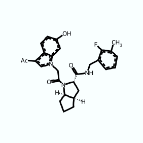 CC(=O)c1cn(CC(=O)N2[C@@H]3CCC[C@@H]3C[C@H]2C(=O)NCc2cccc(C)c2F)c2cc(O)ccc12